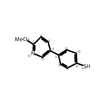 COc1ccc(-c2ccc(S)cc2)cn1